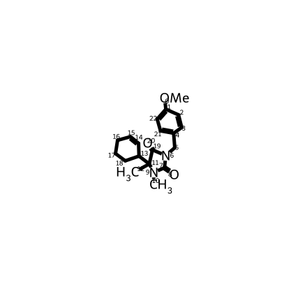 COc1ccc(CN2C(=O)N(C)C(C)(C3C=CCCC3)C2=O)cc1